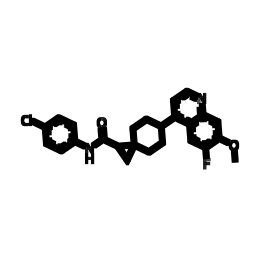 COc1cc2nccc(C3CCC4(CC3)CC4C(=O)Nc3ccc(Cl)cc3)c2cc1F